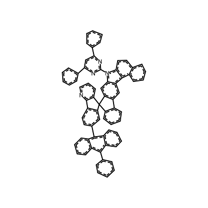 c1ccc(-c2cc(-c3ccccc3)nc(-n3c4cc5c(cc4c4c6ccccc6ccc43)-c3ccccc3C53c4cc(-c5c6ccccc6c(-c6ccccc6)c6ccccc56)ccc4-c4ncccc43)n2)cc1